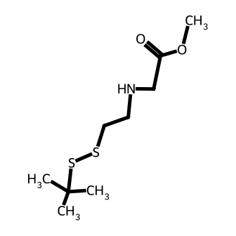 COC(=O)CNCCSSC(C)(C)C